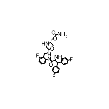 NC(=O)OC[C@@H]1CO[C@H](CCc2c(F)cccc2NC(=O)[C@@H](N)C(c2ccc(F)cc2)c2ccc(F)cc2)CN1